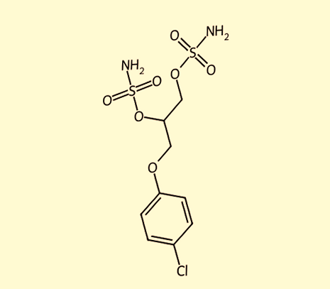 NS(=O)(=O)OCC(COc1ccc(Cl)cc1)OS(N)(=O)=O